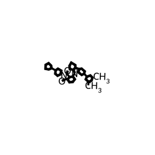 Cc1cc(C)cc(-c2ccc3c4ccccc4n(-c4cccc5c4C(=O)N(c4ccc(-c6ccccc6)cc4)C5=O)c3c2)c1